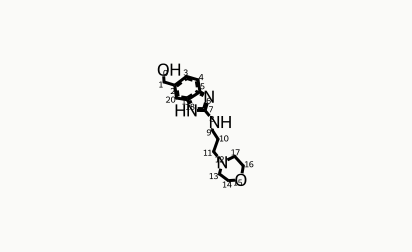 OCc1ccc2nc(NCCCN3CCOCC3)[nH]c2c1